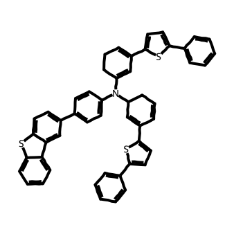 C1=CC(c2ccc(-c3ccccc3)s2)=CC(N(C2=CC(c3ccc(-c4ccccc4)s3)=CCC2)c2ccc(-c3ccc4sc5ccccc5c4c3)cc2)C1